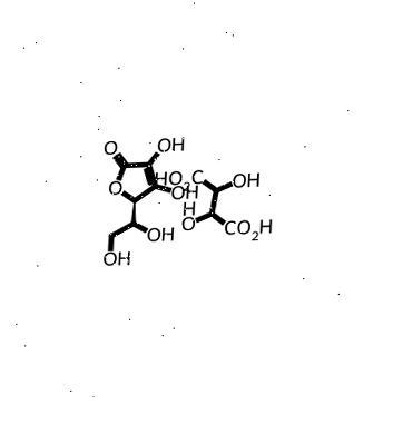 O=C(O)C(O)C(O)C(=O)O.O=C1O[C@H](C(O)CO)C(O)=C1O